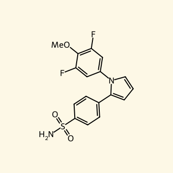 COc1c(F)cc(-n2cccc2-c2ccc(S(N)(=O)=O)cc2)cc1F